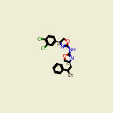 CCC(C[C@H]1COC(NC2=N[C@@H](c3ccc(Cl)c(Cl)c3)CO2)=N1)c1ccccc1